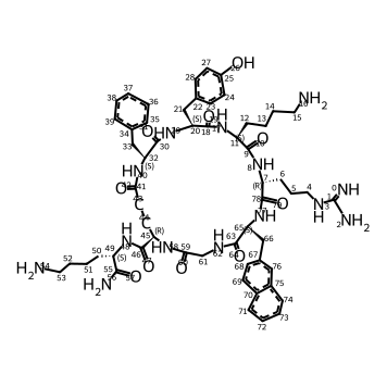 N=C(N)NCCC[C@H]1NC(=O)[C@H](CCCCN)NC(=O)[C@H](Cc2ccc(O)cc2)NC(=O)[C@H](Cc2ccccc2)NC(=O)CC[C@H](C(=O)N[C@@H](CCCCN)C(N)=O)NC(=O)CNC(=O)[C@H](Cc2ccc3ccccc3c2)NC1=O